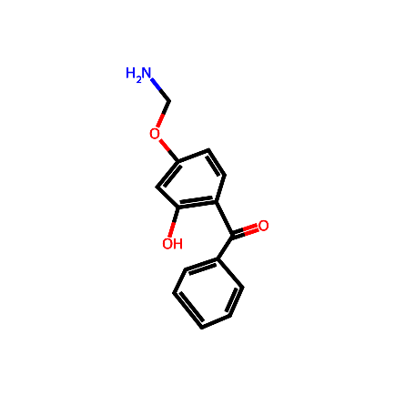 NCOc1ccc(C(=O)c2ccccc2)c(O)c1